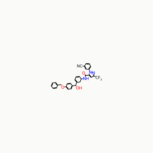 N#Cc1cccc(-n2nc(C(F)(F)F)cc2C(=O)NC2C=CC=C(C(O)c3ccc(OCc4ccccc4)cc3)C2)c1